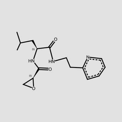 CC(C)C[C@H](NC(=O)[C@@H]1CO1)C(=O)NCCc1ccccn1